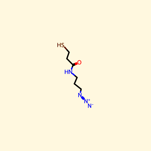 [N-]=[N+]=NCCCNC(=O)CCS